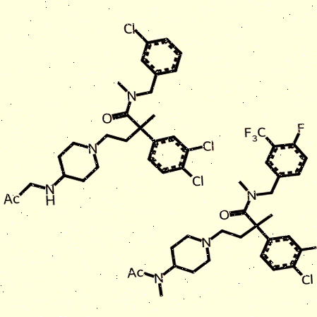 CC(=O)CNC1CCN(CCC(C)(C(=O)N(C)Cc2cccc(Cl)c2)c2ccc(Cl)c(Cl)c2)CC1.CC(=O)N(C)C1CCN(CCC(C)(C(=O)N(C)Cc2ccc(F)c(C(F)(F)F)c2)c2ccc(Cl)c(Cl)c2)CC1